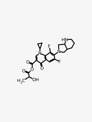 CC(O)C(=O)OC(=O)c1cn(C2CC2)c2c(F)c(N3CC4CCCNC4C3)c(F)cc2c1=O